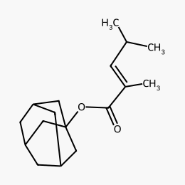 CC(=CC(C)C)C(=O)OC12CC3CC(CC(C3)C1)C2